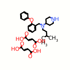 CC(C)CCN(Cc1ccccc1Oc1ccccc1)C1CCNCC1.O=C(O)C=CC(=O)O.O=C(O)C=CC(=O)O